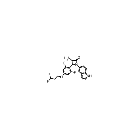 NC1C(=O)N(c2ccc3[nH]cnc3c2)C1c1c(F)cc(OCCC(F)F)cc1F